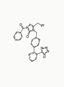 CC(C)Cc1cn(C(=O)c2ccccc2)c(=O)n1Cc1ccc(-c2ccccc2-c2nnn[nH]2)cc1